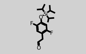 CC(C)[Si](Oc1cc(F)c(CC=O)cc1F)(C(C)C)C(C)C